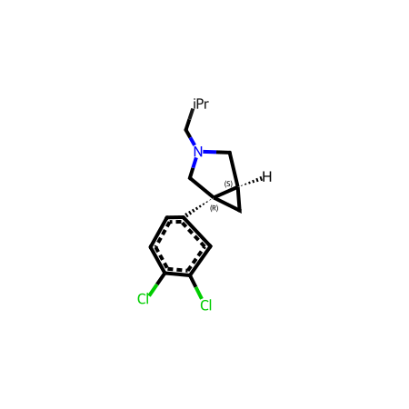 CC(C)CN1C[C@H]2C[C@@]2(c2ccc(Cl)c(Cl)c2)C1